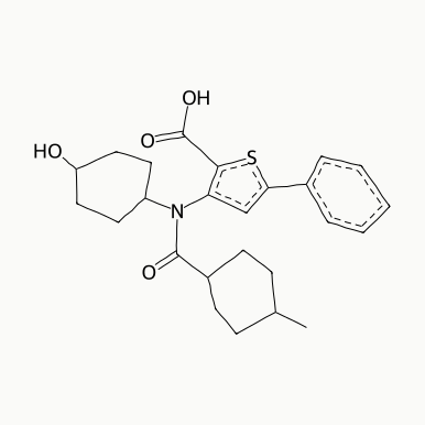 CC1CCC(C(=O)N(c2cc(-c3ccccc3)sc2C(=O)O)C2CCC(O)CC2)CC1